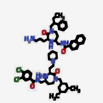 CC1CC(C)CC(CN2CC[C@@H](CNC(=O)c3ccc(Cl)c(Cl)c3)N[C@@H](CCN3CCCCC3)C2=O)C1.CCC(CN1CC[C@@H](CNC(=O)c2ccc3ccccc3c2)N[C@@H](CCCN)C1=O)c1ccccc1